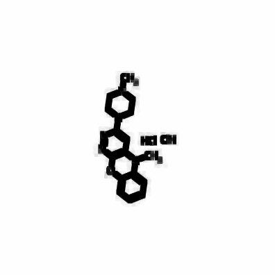 CN1CCN(c2cc3c(nn2)Oc2ccccc2N3C)CC1.Cl.Cl